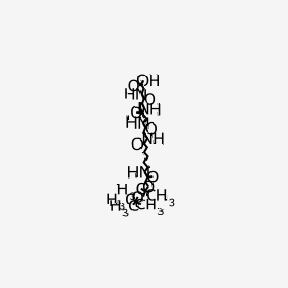 CC(C)(C)OCC(C)(C)OCC(=O)NCCCCCC(=O)NCC(=O)NCC(=O)NCC(=O)NCC(=O)O